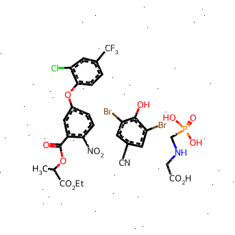 CCOC(=O)C(C)OC(=O)c1cc(Oc2ccc(C(F)(F)F)cc2Cl)ccc1[N+](=O)[O-].N#Cc1cc(Br)c(O)c(Br)c1.O=C(O)CNCP(=O)(O)O